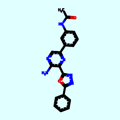 CC(=O)Nc1cccc(-c2cnc(N)c(-c3nnc(-c4ccccc4)o3)n2)c1